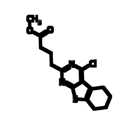 COC(=O)CCCc1nc(Cl)c2c3c(sc2n1)CCCC3